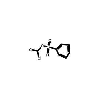 O=S(=O)(OC(Cl)Cl)c1ccccc1